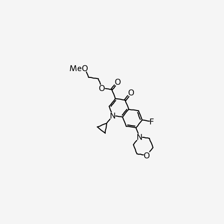 COCCOC(=O)c1cn(C2CC2)c2cc(N3CCOCC3)c(F)cc2c1=O